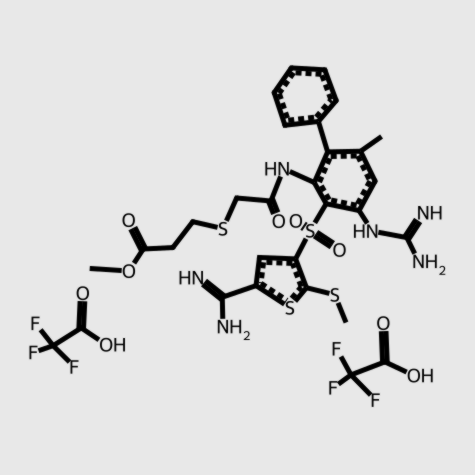 COC(=O)CCSCC(=O)Nc1c(-c2ccccc2)c(C)cc(NC(=N)N)c1S(=O)(=O)c1cc(C(=N)N)sc1SC.O=C(O)C(F)(F)F.O=C(O)C(F)(F)F